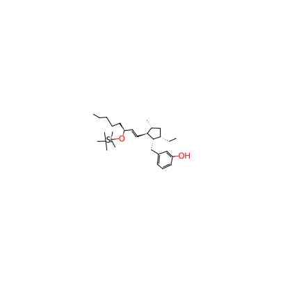 CCCCC[C@@H](/C=C/[C@@H]1[C@@H](Cc2cccc(O)c2)[C@@H](CC)C[C@H]1C)O[Si](C)(C)C(C)(C)C